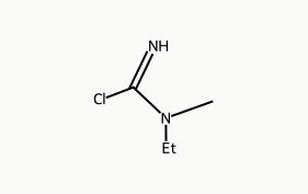 CCN(C)C(=N)Cl